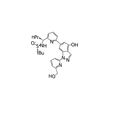 CCC[C@H](N[S@+]([O-])C(C)(C)C)c1cccc(-c2cc(O)c3cnn(-c4cccc(CO)n4)c3c2)n1